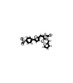 O=C1/C(=C\c2ccc(-c3ccc([N+](=O)[O-])cc3)o2)SC(=S)N1CC1CCCO1